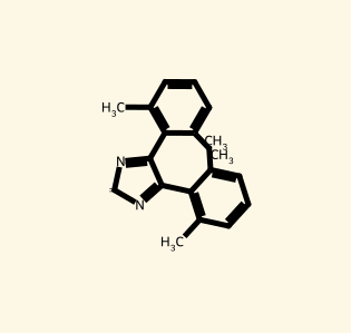 Cc1cccc(C)c1C1=N[C]N=C1c1c(C)cccc1C